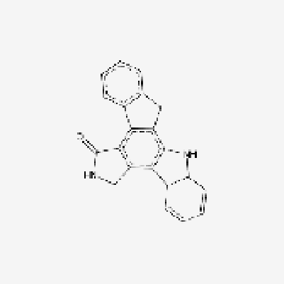 O=C1NCc2c1c1c(c3c2C2C=CC=CC2N3)Cc2ccccc2-1